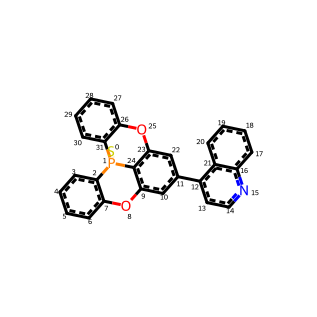 S=P12c3ccccc3Oc3cc(-c4ccnc5ccccc45)cc(c31)Oc1ccccc12